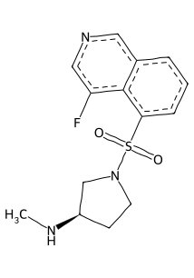 CN[C@@H]1CCN(S(=O)(=O)c2cccc3cncc(F)c23)C1